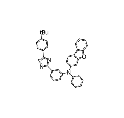 CC(C)(C)c1ccc(-c2nc(-c3cccc(N(c4ccccc4)c4ccc5c(c4)oc4ccccc45)c3)ns2)cc1